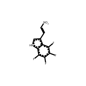 O=[N+]([O-])/C=C/c1c[nH]c2c(F)c(F)c(F)c(F)c12